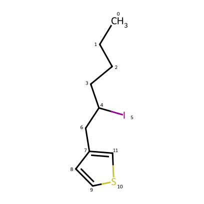 CCCCC(I)Cc1ccsc1